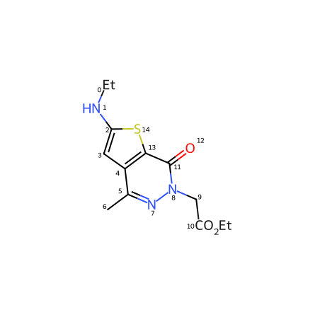 CCNc1cc2c(C)nn(CC(=O)OCC)c(=O)c2s1